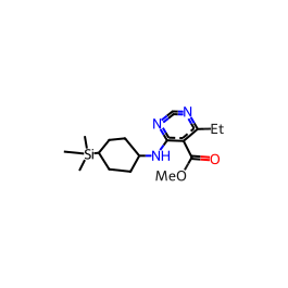 CCc1ncnc(NC2CCC([Si](C)(C)C)CC2)c1C(=O)OC